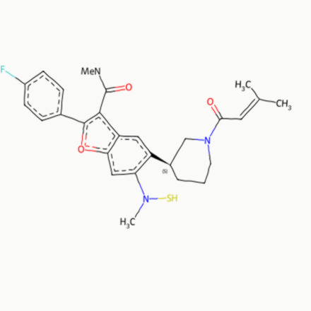 CNC(=O)c1c(-c2ccc(F)cc2)oc2cc(N(C)S)c([C@@H]3CCCN(C(=O)C=C(C)C)C3)cc12